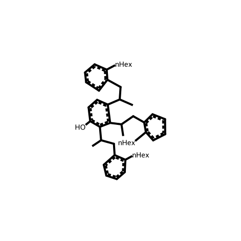 CCCCCCc1ccccc1CC(C)c1ccc(O)c(C(C)Cc2ccccc2CCCCCC)c1C(C)Cc1ccccc1CCCCCC